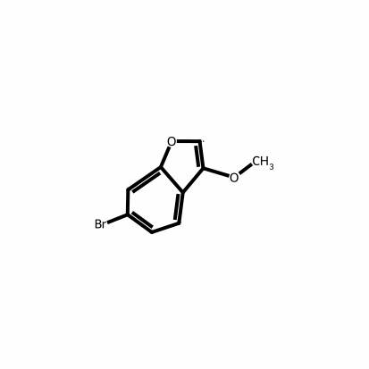 COc1[c]oc2cc(Br)ccc12